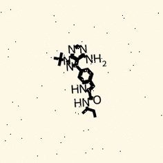 CCC(C)NC(=O)c1cc2ccc(-c3nn(C(C)(C)C)c4ncnc(N)c34)cc2[nH]1